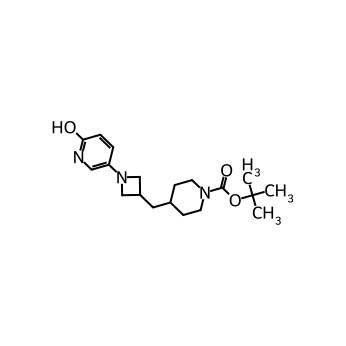 CC(C)(C)OC(=O)N1CCC(CC2CN(c3ccc(O)nc3)C2)CC1